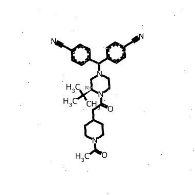 CC(=O)N1CCC(CC(=O)N2CCN(C(c3ccc(C#N)cc3)c3ccc(C#N)cc3)C[C@@H]2C(C)(C)C)CC1